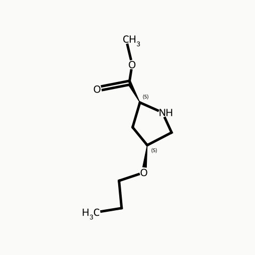 CCCO[C@@H]1CN[C@H](C(=O)OC)C1